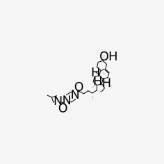 CC1CN(C(=O)N2CCN(C(=O)CC[C@@H](C)[C@H]3CC[C@H]4[C@@H]5CC=C6C[C@@H](O)CC[C@]6(C)[C@H]5CC[C@]34C)CC2)C1